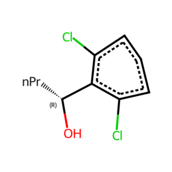 CCC[C@@H](O)c1c(Cl)cccc1Cl